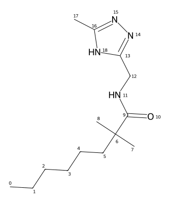 CCCCCCC(C)(C)C(=O)NCc1nnc(C)[nH]1